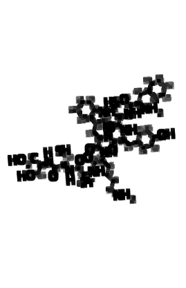 CC(C)[C@H](NC(=O)[C@H](CCCCN)NC(=O)[C@@H](Cc1c[nH]c2ccccc12)NC(=O)[C@H](Cc1ccc(O)cc1)NC(=O)[C@H](CS)NC(=O)[C@H](N)Cc1ccccc1)C(=O)N[C@@H](CS)C(=O)N[C@@H](CO)C(=O)O